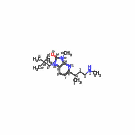 CNCC[C@H](C)c1ccc2c(n1)n(C)c(=O)n2CC(C)(C)C